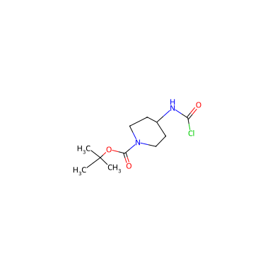 CC(C)(C)OC(=O)N1CCC(NC(=O)Cl)CC1